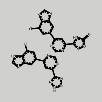 Clc1cc(-c2cc(-c3nn[nH]n3)ncn2)cc2nc[nH]c12.O=c1[nH]c(-c2cc(-c3cc(Cl)c4scnc4c3)ncn2)no1